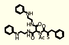 CC(=O)N(C(=O)C(=S)Cc1ccccc1)C(C(=O)NCCNc1ccccc1)C(=O)NCCNc1ccccc1